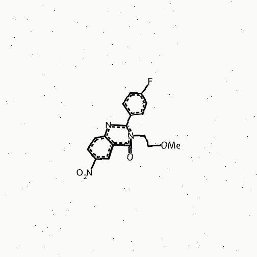 COCCn1c(-c2ccc(F)cc2)nc2ccc([N+](=O)[O-])cc2c1=O